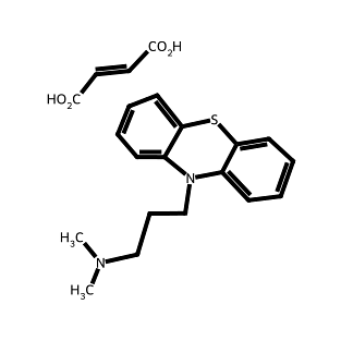 CN(C)CCCN1c2ccccc2Sc2ccccc21.O=C(O)C=CC(=O)O